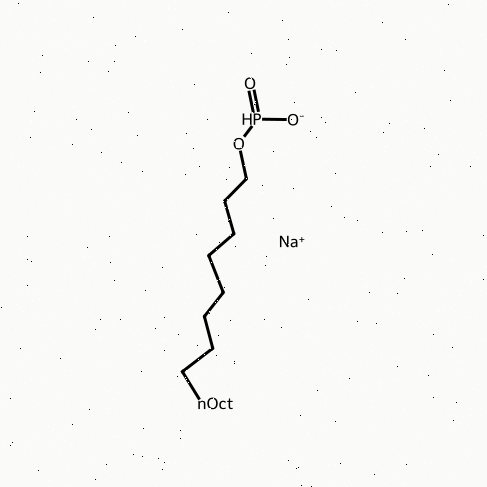 CCCCCCCCCCCCCCCCO[PH](=O)[O-].[Na+]